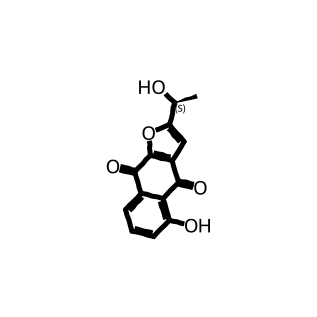 C[C@H](O)c1cc2c(o1)C(=O)c1cccc(O)c1C2=O